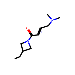 CCC1CN(C(=O)/C=C/CN(C)C)C1